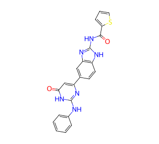 O=C(Nc1nc2cc(-c3cc(=O)[nH]c(Nc4ccccc4)n3)ccc2[nH]1)c1cccs1